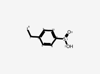 O=S(O)c1ccc(CI)cc1